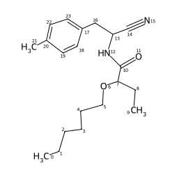 CCCCCCOC(CC)C(=O)NC(C#N)Cc1ccc(C)cc1